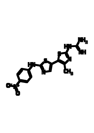 Cc1nc(NC(=N)N)sc1-c1cnc(Nc2ccc([N+](=O)[O-])cc2)s1